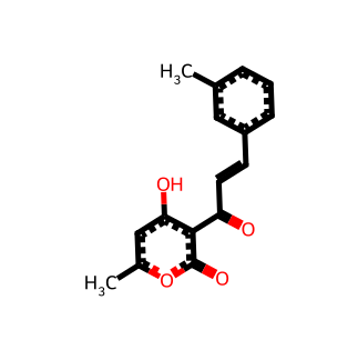 Cc1cccc(C=CC(=O)c2c(O)cc(C)oc2=O)c1